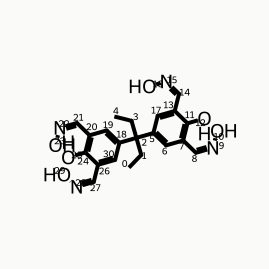 CCC(CC)(c1cc(/C=N\O)c(O)c(/C=N\O)c1)c1cc(/C=N\O)c(O)c(/C=N\O)c1